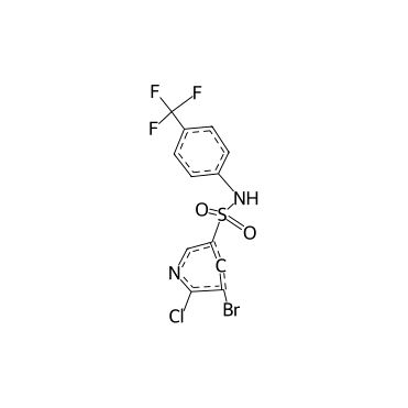 O=S(=O)(Nc1ccc(C(F)(F)F)cc1)c1cnc(Cl)c(Br)c1